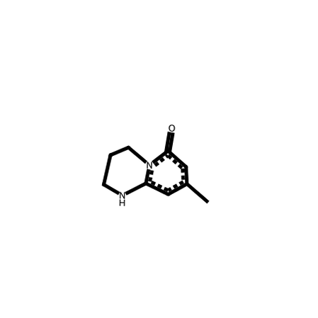 Cc1cc2n(c(=O)c1)CCCN2